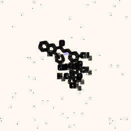 CCC(C)(C)OC(=O)C(C)(C)Oc1c(C)cc(/C=C/C(=O)c2cc3ccccc3nc2N2CC[C@H](O)C2)cc1C